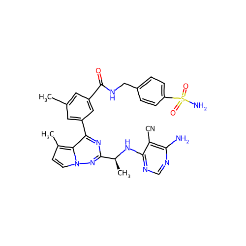 Cc1cc(C(=O)NCc2ccc(S(N)(=O)=O)cc2)cc(-c2nc([C@H](C)Nc3ncnc(N)c3C#N)nn3ccc(C)c23)c1